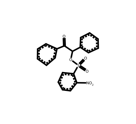 O=C(c1ccccc1)C(OS(=O)(=O)c1ccccc1[N+](=O)[O-])c1ccccc1